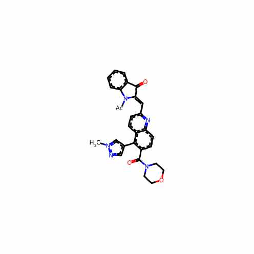 CC(=O)N1/C(=C\c2ccc3c(-c4cnn(C)c4)c(C(=O)N4CCOCC4)ccc3n2)C(=O)c2ccccc21